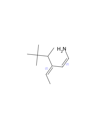 C/C=C(\C=C/N)C(C)C(C)(C)C